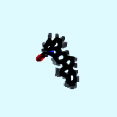 O=C=Nc1cccc2cccc(C3CCc4c(ccc5c4ccc4ccccc45)C3)c12